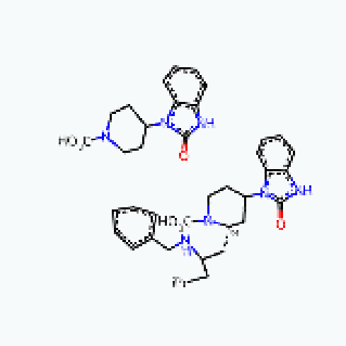 CC(C)CC(C[C@H]1CC(n2c(=O)[nH]c3ccccc32)CCN1C(=O)O)NCc1ccccc1.O=C(O)N1CCC(n2c(=O)[nH]c3ccccc32)CC1